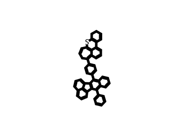 C1=CC2=C(CC1)SC1=c3c2cccc3=C(c2ccc(-c3c4c(c(-c5ccccc5)c5ccccc35)-c3cccc5cccc-4c35)cc2)CC=C1